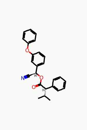 CC(C)[C@H](C(=O)O[C@@H](C#N)c1cccc(Oc2ccccc2)c1)c1ccccc1